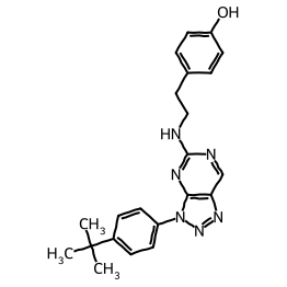 CC(C)(C)c1ccc(-n2nnc3cnc(NCCc4ccc(O)cc4)nc32)cc1